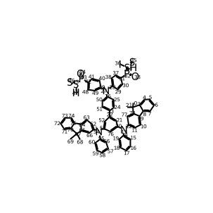 CC1(C)c2ccccc2-c2ccc(N(c3ccccc3)c3cc(-c4ccc(N(c5ccc(P(=O)=[SH](=S)I)cc5)c5ccc(P(=O)=[SH](=S)I)cc5)cc4)cc(N(c4ccccc4)c4ccc5c(c4)C(C)(C)c4ccccc4-5)c3)cc21